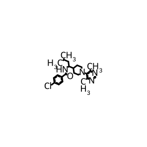 Cc1ncnc(C)c1N1CCC(C(CC(C)C)NC(=O)c2ccc(Cl)cc2)CC1